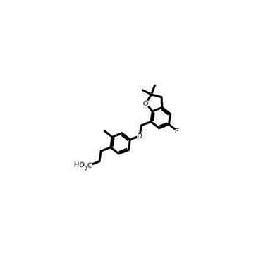 Cc1cc(OCc2cc(F)cc3c2OC(C)(C)C3)ccc1CCC(=O)O